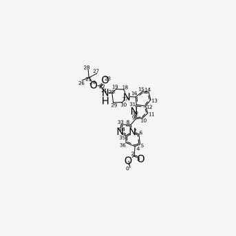 COC(=O)c1ccn2c(-c3ccc4cccc(N5CCC(NC(=O)OC(C)(C)C)CC5)c4n3)cnc2c1